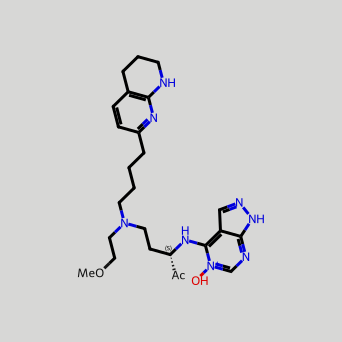 COCCN(CCCCc1ccc2c(n1)NCCC2)CC[C@H](Nc1c2cn[nH]c2nc[n+]1O)C(C)=O